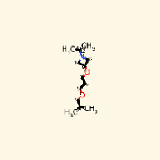 CC(C)COCCCOC1CN(C(C)C)C1